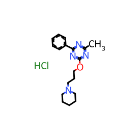 Cc1nc(OCCCN2CCCCC2)nc(-c2ccccc2)n1.Cl